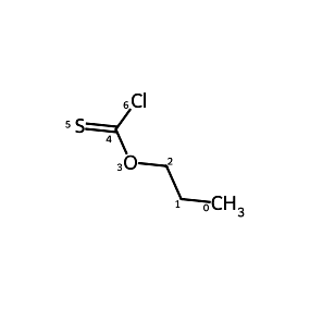 CCCOC(=S)Cl